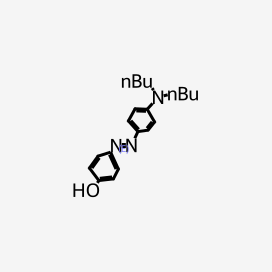 CCCCN(CCCC)c1ccc(/N=N/c2ccc(O)cc2)cc1